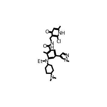 CCN(c1cc(-c2cnn(C)c2)cc(C(=O)NCc2c(Cl)[nH]c(C)cc2=O)c1C)C1CCC(N(C)C)CC1